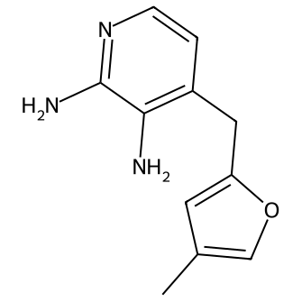 Cc1coc(Cc2ccnc(N)c2N)c1